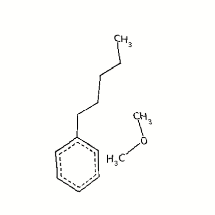 CCCCCc1ccccc1.COC